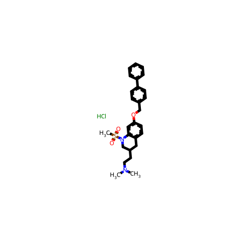 CN(C)CCC1Cc2ccc(OCc3ccc(-c4ccccc4)cc3)cc2N(S(C)(=O)=O)C1.Cl